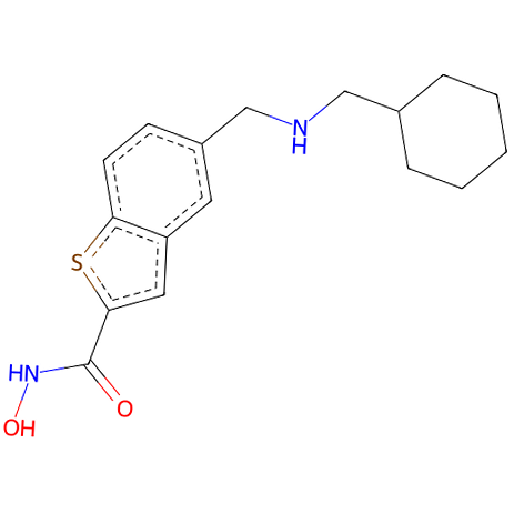 O=C(NO)c1cc2cc(CNCC3CCCCC3)ccc2s1